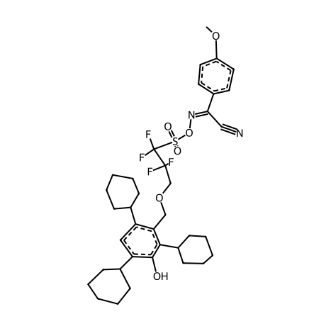 COc1ccc(/C(C#N)=N/OS(=O)(=O)C(F)(F)C(F)(F)COCc2c(C3CCCCC3)cc(C3CCCCC3)c(O)c2C2CCCCC2)cc1